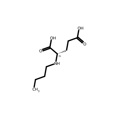 CCCCN[C@@H](CCC(=O)O)C(=O)O